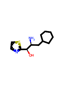 N[C@@H](CC1CCCCC1)[C@@H](O)c1nccs1